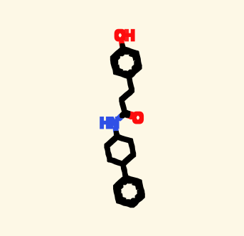 O=C(CCc1ccc(O)cc1)NC1CCC(c2ccccc2)CC1